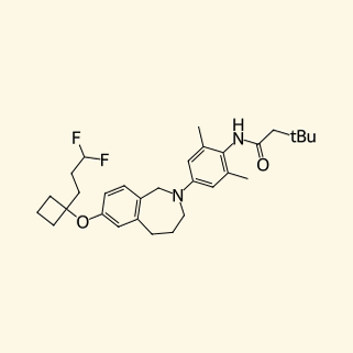 Cc1cc(N2CCCc3cc(OC4(CCC(F)F)CCC4)ccc3C2)cc(C)c1NC(=O)CC(C)(C)C